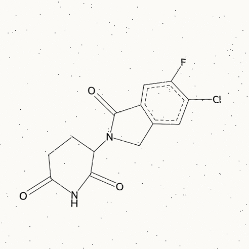 O=C1CCC(N2Cc3cc(Cl)c(F)cc3C2=O)C(=O)N1